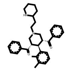 Cc1cccc([C@@H]2[C@@H](C(=O)c3ccccc3)CN(CCC3CCCCN3)C[C@H]2C(=O)c2ccccc2)c1C